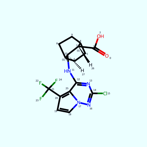 O=C(O)[C@H]1C2CCC(CC2)[C@@H]1Nc1nc(Cl)nn2ccc(C(F)(F)F)c12